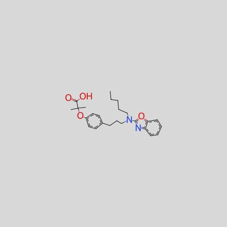 CCCCCN(CCCc1ccc(OC(C)(C)C(=O)O)cc1)c1nc2ccccc2o1